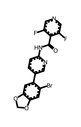 O=C(Nc1ccc(-c2cc3c(cc2Br)OCO3)cn1)c1c(F)cncc1F